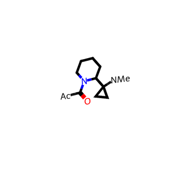 CNC1(C2CCCCN2C(=O)C(C)=O)CC1